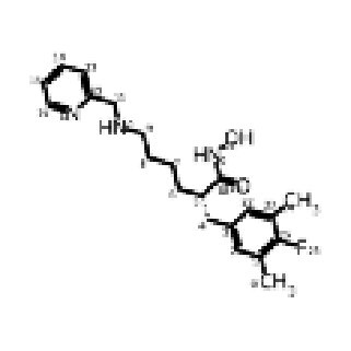 Cc1cc(C[C@H](CCCCNCc2ccccn2)C(=O)NO)cc(C)c1F